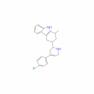 CC1CC(C2CC(c3ccc(Br)cc3)=CCN2)Cc2c1[nH]c1ccccc21